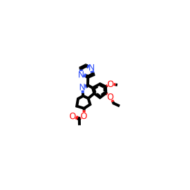 CCOc1cc2c(cc1OC)C(c1cnccn1)=NC1CCC(OC(C)=O)CC21